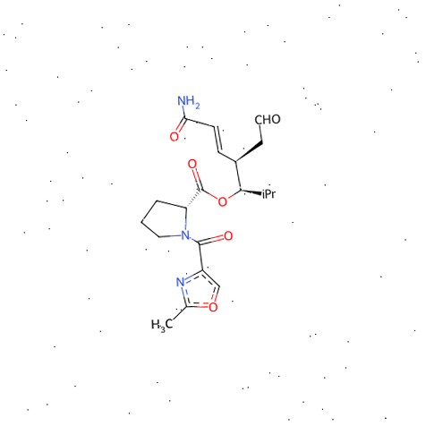 Cc1nc(C(=O)N2CCC[C@@H]2C(=O)O[C@H](C(C)C)[C@@H](/C=C/C(N)=O)CC=O)co1